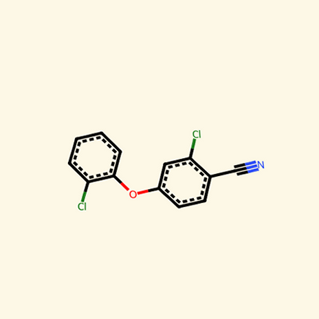 N#Cc1ccc(Oc2ccccc2Cl)cc1Cl